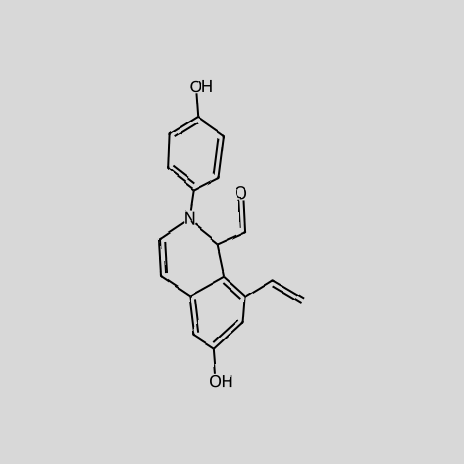 C=Cc1cc(O)cc2c1C(C=O)N(c1ccc(O)cc1)C=C2